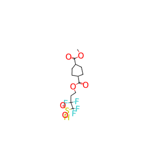 COC(=O)C1CCC(C(=O)OCCC(F)(F)C(F)(F)[SH](=O)=O)CC1